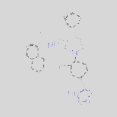 C[C@@H](NCC1CN(c2c(F)cc(-c3nnn[nH]3)cc2F)CCC1c1ccccc1)c1cccc2ccccc12